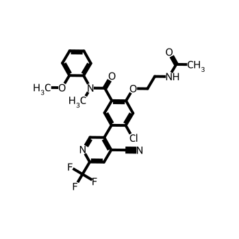 COc1ccccc1N(C)C(=O)c1cc(-c2cnc(C(F)(F)F)cc2C#N)c(Cl)cc1OCCNC(C)=O